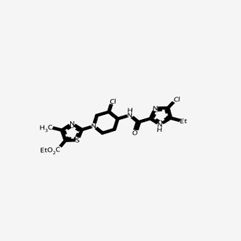 CCOC(=O)c1sc(N2CCC(NC(=O)c3nc(Cl)c(CC)[nH]3)C(Cl)C2)nc1C